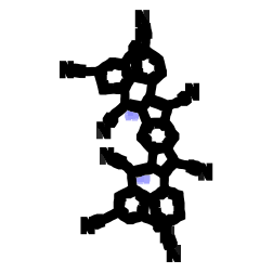 N#CC1=C(c2ccc(C#N)cc2)/C(=C(/C#N)c2cc(C#N)cc(C#N)c2)c2cc3c(cc21)C(C#N)=C(c1ccc(C#N)cc1)/C3=C(/C#N)c1cc(C#N)cc(C#N)c1